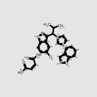 CC(C)C(c1noc2ccc(Cl)cc12)n1ccnc1.O=C(O)/C=C\C(=O)O.c1ccc2oncc2c1